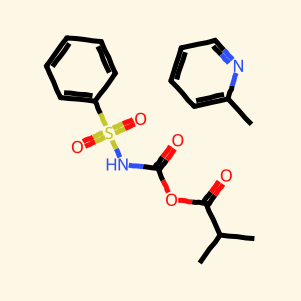 CC(C)C(=O)OC(=O)NS(=O)(=O)c1ccccc1.Cc1ccccn1